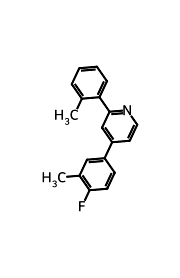 Cc1cc(-c2ccnc(-c3ccccc3C)c2)ccc1F